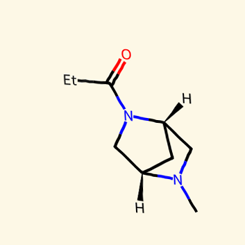 CCC(=O)N1C[C@@H]2C[C@H]1CN2C